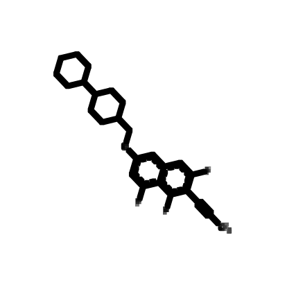 Fc1cc2cc(OCC3CCC(C4CCCCC4)CC3)cc(F)c2c(F)c1C#CC(F)(F)F